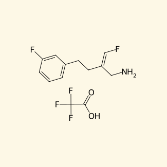 NCC(=CF)CCc1cccc(F)c1.O=C(O)C(F)(F)F